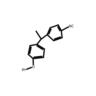 [C-]#[N+]c1ccc(C(C)c2ccc(OC(C)C)cc2)cc1